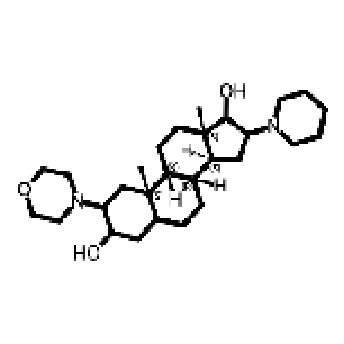 C[C@]12CC(N3CCOCC3)C(O)CC1CC[C@@H]1[C@H]2CC[C@]2(C)C(O)C(N3CCCCC3)C[C@@H]12